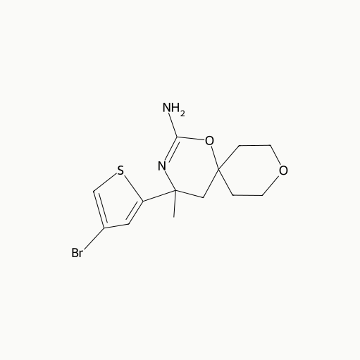 CC1(c2cc(Br)cs2)CC2(CCOCC2)OC(N)=N1